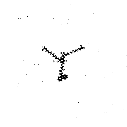 CN(CCOCCOCCOCCC(=O)O)C(=O)CN(CC(=O)N(C)CCOCCOCCOCCC(=O)O)C(=O)CCOCCNC(=O)OCC1c2ccccc2-c2ccccc21